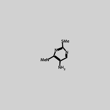 CNc1nc(SC)ncc1N